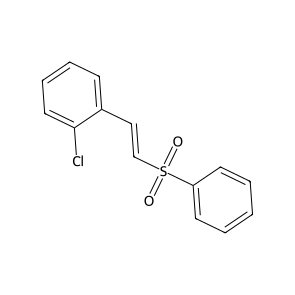 O=S(=O)(C=Cc1ccccc1Cl)c1ccccc1